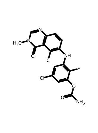 Cn1cnc2ccc(Nc3cc(Cl)cc(OC(N)=O)c3F)c(Cl)c2c1=O